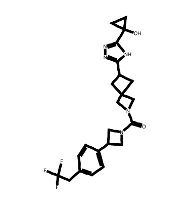 O=C(N1CC(c2ccc(CC(F)(F)F)cc2)C1)N1CC2(CC(c3nnc(C4(O)CC4)[nH]3)C2)C1